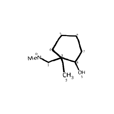 CNCC1(C)CCCCC1O